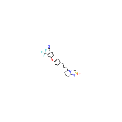 N#Cc1ccc(Oc2ccc(CCCC3CCCC4=N[S+]([O-])CCN43)cc2)cc1C(F)(F)F